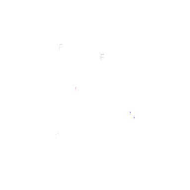 FC(F)Oc1cn[c]cc1Cl